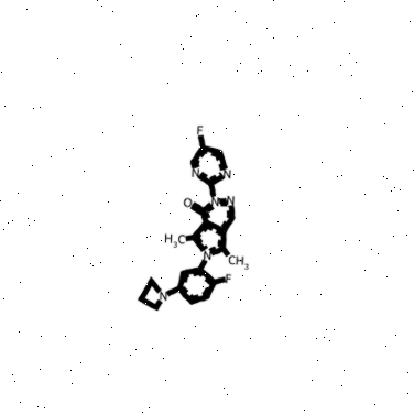 Cc1c2cnn(-c3ncc(F)cn3)c(=O)c2c(C)n1-c1cc(N2CCC2)ccc1F